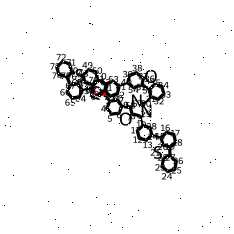 c1cc(-c2ccc3oc4c(-c5cccc(-c6cccc7c6sc6ccccc67)c5)nc(-c5cccc6oc7ccc(-c8ccc9oc%10ccccc%10c9c8)cc7c56)nc4c3c2)cc(-c2cccc3c2sc2ccccc23)c1